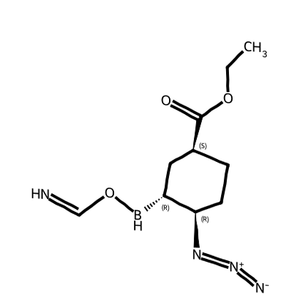 CCOC(=O)[C@H]1CC[C@@H](N=[N+]=[N-])[C@H](BOC=N)C1